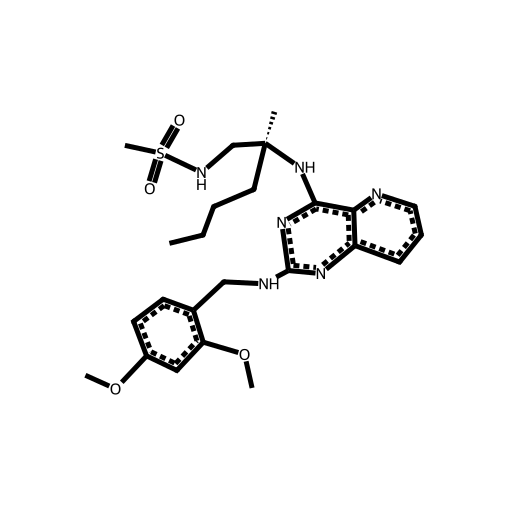 CCCC[C@@](C)(CNS(C)(=O)=O)Nc1nc(NCc2ccc(OC)cc2OC)nc2cccnc12